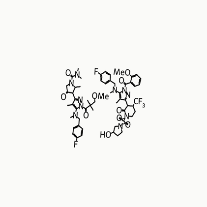 COCC(C)(C)C(=O)n1nc(C2C(=O)CN(C(=O)N(C)C)C2C)c(C)c1N(C)Cc1ccc(F)cc1.COc1ccccc1C(=O)n1nc(C2C(=O)N(S(=O)(=O)N3CCC(O)C3)CCC2C(F)(F)F)c(C)c1N(C)Cc1ccc(F)cc1